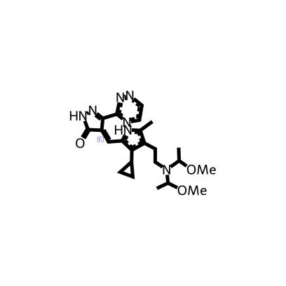 COC(C)N(CCc1c(C)[nH]c(/C=C2/C(=O)NN=C2c2nccnn2)c1C1CC1)C(C)OC